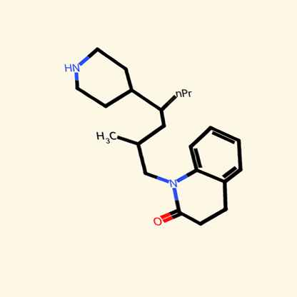 CCCC(CC(C)CN1C(=O)CCc2ccccc21)C1CCNCC1